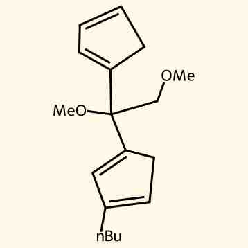 CCCCC1=CCC(C(COC)(OC)C2=CC=CC2)=C1